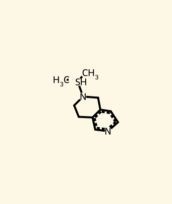 C[SH](C)N1CCc2cnccc2C1